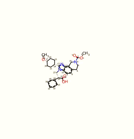 COC(=O)N1CCc2ccc3c(nc([C@H]4CC[C@@H](OC)CC4)n3C[C@H](C(=O)O)c3ccccc3)c2C1